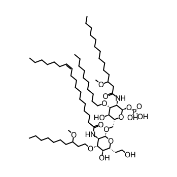 CCCCCC/C=C\CCCCCCCCCC(=O)N[C@H]1[C@H](OC[C@H]2O[C@H](OP(=O)(O)O)[C@H](NC(=O)CC(CCCCCCCCCCC)OC)[C@@H](OCCCCCCCCCC)[C@@H]2O)O[C@H](CCO)[C@@H](O)[C@@H]1OCCC(CCCCCCC)OC